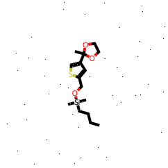 CCCC[Si](C)(C)OCc1cc(C2(C)OCCO2)cs1